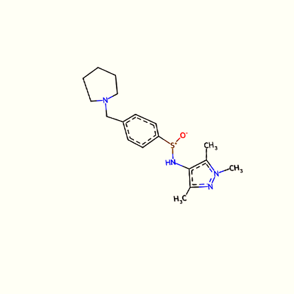 Cc1nn(C)c(C)c1N[S+]([O-])c1ccc(CN2CCCCC2)cc1